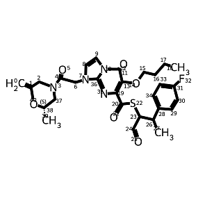 C=C1CN(C(=O)Cn2ccn3c(=O)c(OCCCC)c(C(=O)SC(C=O)C(C)c4ccc(F)cc4)nc23)C[C@H](C)O1